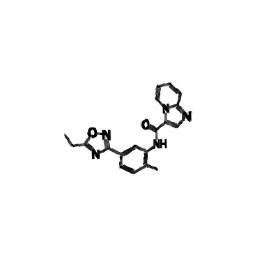 CCc1nc(-c2ccc(C)c(NC(=O)c3cnc4ccccn34)c2)no1